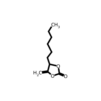 C=C1OC(=O)OC1CCCCCC